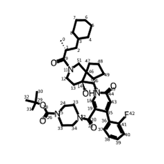 C[C@H](CC1CCCCC1)C(=O)N1CC[C@@](O)(Cn2cc(C(=O)N3CCN(C(=O)OC(C)(C)C)CC3)c(-c3ccccc3F)cc2=O)C2(CCCC2)C1